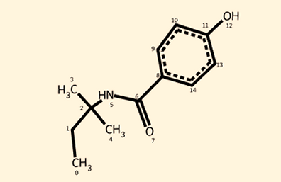 CCC(C)(C)NC(=O)c1ccc(O)cc1